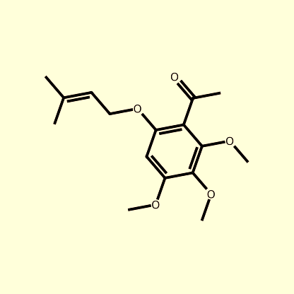 COc1cc(OCC=C(C)C)c(C(C)=O)c(OC)c1OC